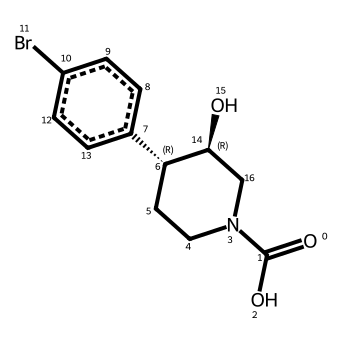 O=C(O)N1CC[C@H](c2ccc(Br)cc2)[C@@H](O)C1